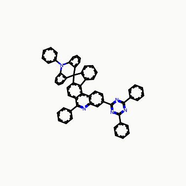 c1ccc(-c2nc(-c3ccccc3)nc(-c3ccc4c(c3)nc(-c3ccccc3)c3ccc5c(c34)-c3ccccc3C53c4ccccc4N(c4ccccc4)c4ccccc43)n2)cc1